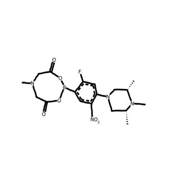 C[C@@H]1CN(c2cc(F)c(B3OC(=O)CN(C)CC(=O)O3)cc2[N+](=O)[O-])C[C@H](C)N1C